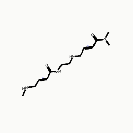 CNC/C=C/C(=O)NCCNC/C=C/C(=O)N(C)C